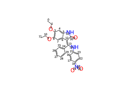 CCOc1cc2c(cc1OCC)/C(=C(/Nc1ccc([N+](=O)[O-])cc1)c1ccccc1)C(=O)N2